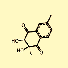 Cc1ccc2c(c1)C(=O)[C@H](O)[C@](C)(O)C2=O